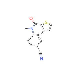 Cn1c(=O)c2sccc2c2cc(C#N)ccc21